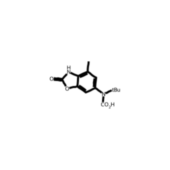 Cc1cc(N(C(=O)O)C(C)(C)C)cc2oc(=O)[nH]c12